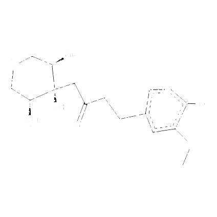 COc1cc(CCC(=O)C[C@@]2(O)[C@H](O)COC[C@@H]2O)ccc1O